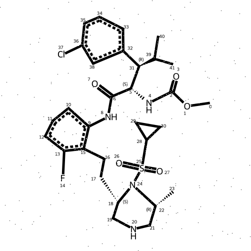 COC(=O)N[C@H](C(=O)Nc1cccc(F)c1CC[C@H]1CNC[C@@H](C)N1S(=O)(=O)C1CC1)[C@@H](c1cccc(Cl)c1)C(C)C